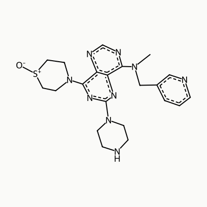 CN(Cc1cccnc1)c1ncnc2c(N3CC[S+]([O-])CC3)nc(N3CCNCC3)nc12